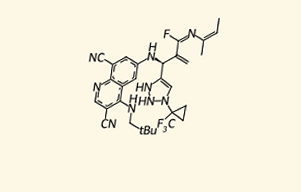 C=C(/C(F)=N\C(C)=C/C)[C@H](Nc1cc(C#N)c2ncc(C#N)c(NCC(C)(C)C)c2c1)C1=CN(C2(C(F)(F)F)CC2)NN1